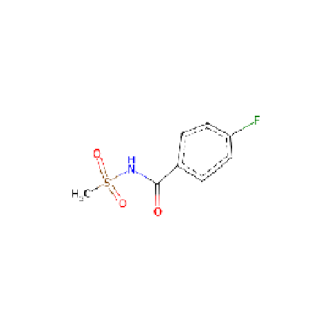 CS(=O)(=O)NC(=O)c1ccc(F)cc1